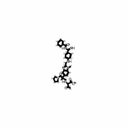 COC(=O)C(NCC(C)(C(=O)N1CCCC1)c1ccc2c(c1)nc(CNc1ccc(C(=N)NC(=O)c3ccccc3)cc1)n2C)C(C)=O